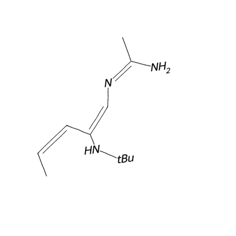 C\C=C/C(=C\N=C(\C)N)NC(C)(C)C